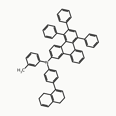 Cc1cccc(N(c2ccc(C3=CCCC4=C3CCC=C4)cc2)c2ccc3c(c2)c2ccccc2c2c(-c4ccccc4)cc(-c4ccccc4)c(-c4ccccc4)c32)c1